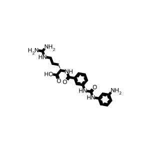 Nc1cccc(NC(=O)Nc2cccc(C(=O)N[C@@H](CCCNC(N)N)C(=O)O)c2)c1